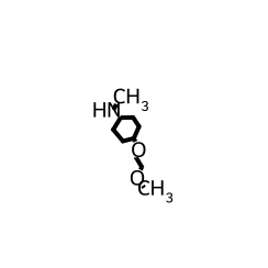 CNC1CCC(OCCOC)CC1